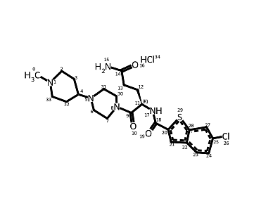 CN1CCC(N2CCN(C(=O)[C@@H](CCC(N)=O)NC(=O)c3cc4ccc(Cl)cc4s3)CC2)CC1.Cl